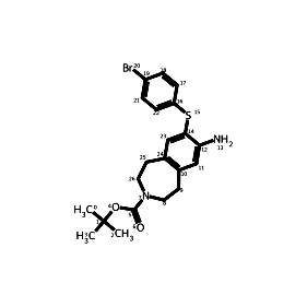 CC(C)(C)OC(=O)N1CCc2cc(N)c(Sc3ccc(Br)cc3)cc2CC1